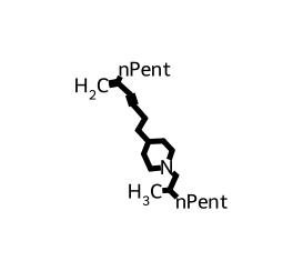 C=C(C#CCCC1CCN(CC(C)CCCCC)CC1)CCCCC